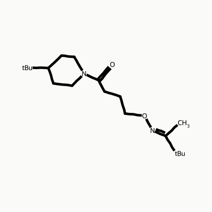 C/C(=N\OCCCC(=O)N1CCC(C(C)(C)C)CC1)C(C)(C)C